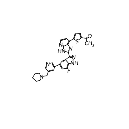 CC(=O)c1ccc(-c2ccnc3[nH]c(-c4n[nH]c5c(F)cc(-c6cncc(CN7CCCCC7)c6)cc45)nc23)s1